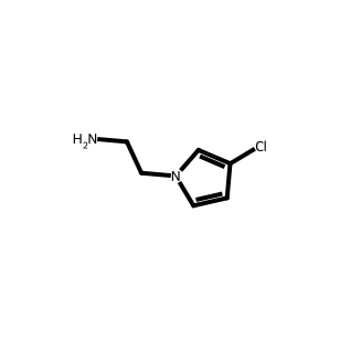 NCCn1ccc(Cl)c1